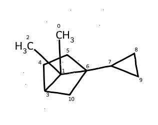 CC1(C)C2CCC1(C1CC1)C2